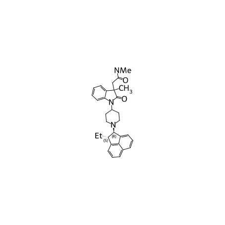 CC[C@H]1c2cccc3cccc(c23)[C@@H]1N1CCC(N2C(=O)C(C)(CC(=O)NC)c3ccccc32)CC1